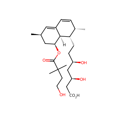 C[C@H]1C=C2C=C[C@H](C)[C@H](CC[C@@H](O)C[C@@H](O)CC(=O)O)[C@H]2[C@@H](OC(=O)C(C)(C)CCO)C1